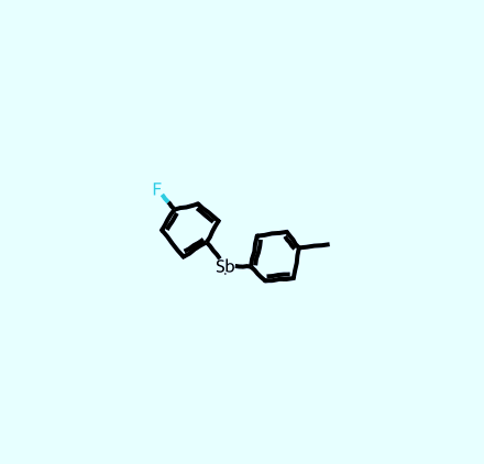 Cc1cc[c]([Sb][c]2ccc(F)cc2)cc1